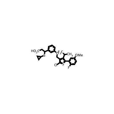 COc1ccc(F)c(-c2sc(Cl)c(COc3cccc(C(CC(=O)O)SC4CC4)c3)c2C(C)C(F)(F)F)c1